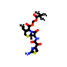 C=CC1=C(C(=O)OCOC(=O)C(C)(C)C)N2C(=O)C(NC(=O)C(=O)c3csc(N)n3)[C@@H]2SC1